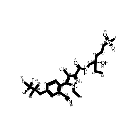 CCn1nc(C(=O)NC[C@](O)(CC)CCCS(C)(=O)=O)c(Cl)c1-c1ccc(CC(C)(C)C(F)(F)F)cc1C#N